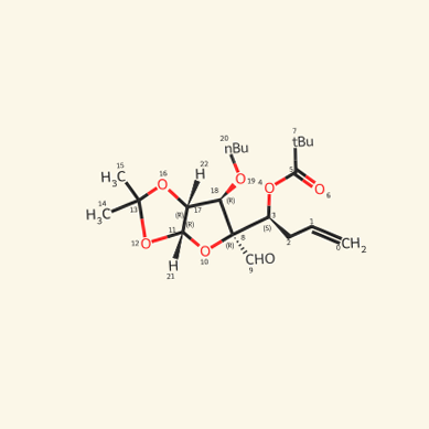 C=CC[C@H](OC(=O)C(C)(C)C)[C@@]1(C=O)O[C@@H]2OC(C)(C)O[C@@H]2[C@H]1OCCCC